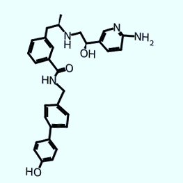 C[C@H](Cc1cccc(C(=O)NCc2ccc(-c3ccc(O)cc3)cc2)c1)NC[C@H](O)c1ccc(N)nc1